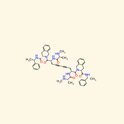 CN[C@@H](C)C(=O)N[C@@H](CC#CC#CC[C@H](NC(=O)[C@H](C)NC)C(=O)N1Cc2ccccc2C[C@H]1C(=O)N[C@H](C)c1ccccc1)C(=O)N1Cc2ccccc2C[C@H]1C(=O)N[C@H](C)c1ccccc1